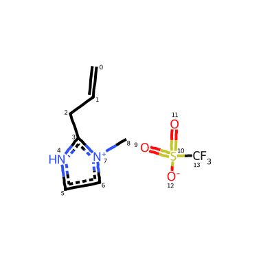 C=CCc1[nH]cc[n+]1C.O=S(=O)([O-])C(F)(F)F